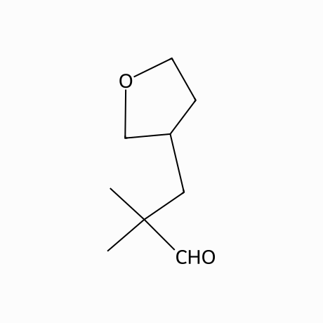 CC(C)(C=O)CC1CCOC1